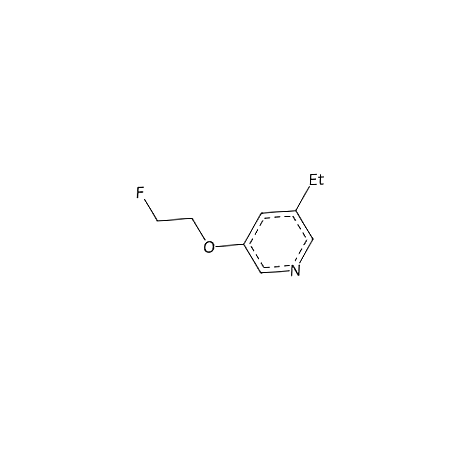 CCc1cncc(OCCF)c1